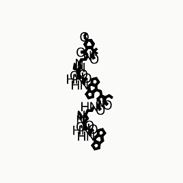 CCC1=C(Cc2c3c(c(NC(=O)NS(=O)(=O)c4ccn(CCN5C(=O)c6cc(OC)ccc6C(C)(C)C5=O)n4)c4c2CCC4)CCC3)CN(C(=O)NCCc2cc(S(=O)(=O)NC(=O)Nc3c4c(cc5c3CCC5)CCC4)nn2C)C1=O